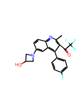 Cc1nc2ccc(N3CC(O)C3)cc2c(-c2ccc(F)cc2)c1C(=O)C(F)(F)F